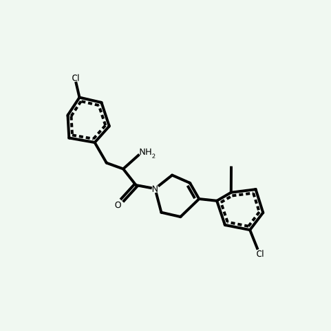 Cc1ccc(Cl)cc1C1=CCN(C(=O)C(N)Cc2ccc(Cl)cc2)CC1